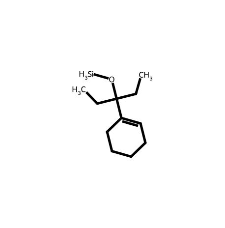 CCC(CC)(O[SiH3])C1=CCCCC1